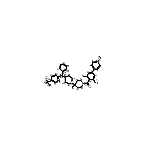 Cc1cc(-c2cc[n+]([O-])cc2)cc(C)c1C(=O)N1CCC(C)(N2CCC(N(c3ccccc3)c3ccc(C(F)(F)F)cn3)CC2)CC1